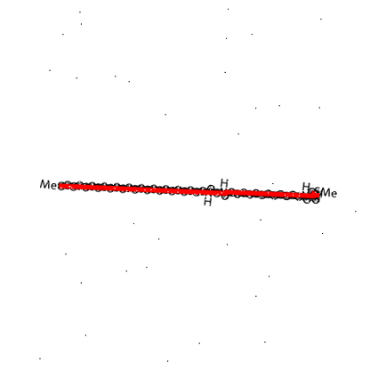 COCCOCCOCCOCCOCCOCCOCCOCCOCCOCCOCCOCCOCCOCCOCCOCCOCCOCCOCCOCCOCCOCCOCCOCCNC(=O)CCOCCNC(=O)CCOCCOCCOCCOCCOCCOCCOCCOCCOCCOCCOCCOCCNC(=O)CCN1C(=O)CC(SC)C1=O